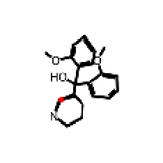 COc1ccccc1C(O)(c1ccccc1OC)C1CN2CCC1CC2